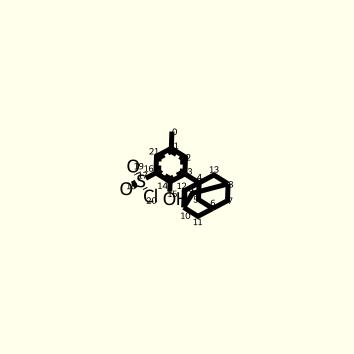 Cc1cc(C23CC4CC(CC(C4)C2)C3)c(O)c(S(=O)(=O)Cl)c1